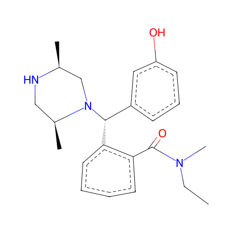 CCN(C)C(=O)c1ccccc1[C@@H](c1cccc(O)c1)N1C[C@H](C)NC[C@@H]1C